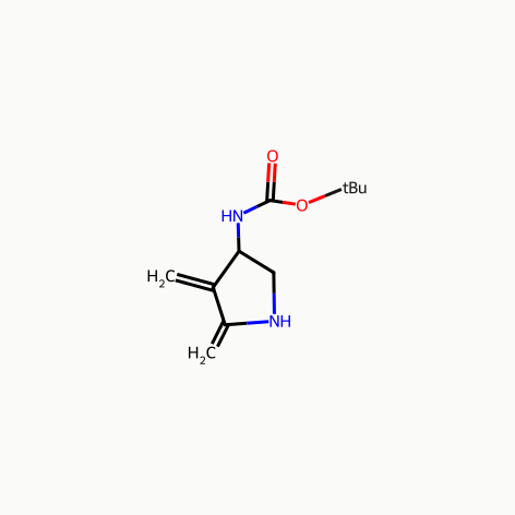 C=C1NCC(NC(=O)OC(C)(C)C)C1=C